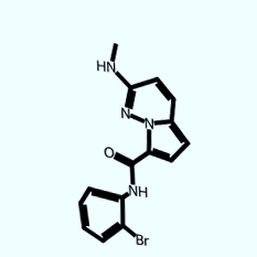 CNc1ccc2ccc(C(=O)Nc3ccccc3Br)n2n1